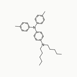 CCCCCN(CCCCC)c1ccc(N(c2ccc(C)cc2)c2ccc(C)cc2)cc1